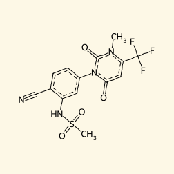 Cn1c(C(F)(F)F)cc(=O)n(-c2ccc(C#N)c(NS(C)(=O)=O)c2)c1=O